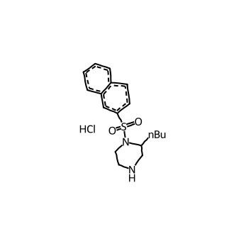 CCCCC1CNCCN1S(=O)(=O)c1ccc2ccccc2c1.Cl